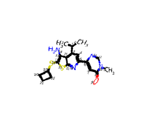 CC(C)c1cc(-c2cc(=O)n(C)cn2)nc2sc(SC3CCC3)c(N)c12